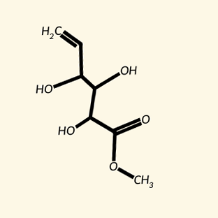 C=CC(O)C(O)C(O)C(=O)OC